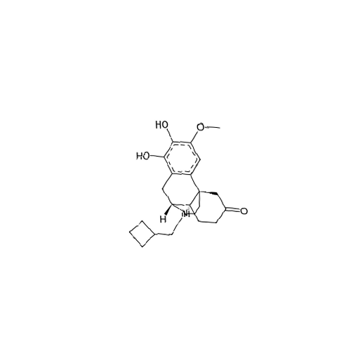 COc1cc2c(c(O)c1O)C[C@@H]1[C@@H]3CCC(=O)C[C@]23CCN1CC1CCC1